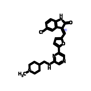 CN1CCC(CNc2cncc(-c3ccc(/C=C4/C(=O)Nc5ccc(Cl)cc54)o3)n2)CC1